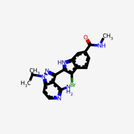 CNC(=O)c1ccc2c(Br)c(-c3nn(C(C)C)c4ccnc(N)c34)[nH]c2c1